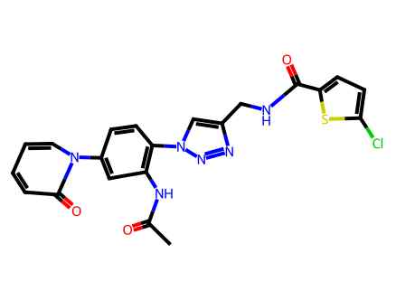 CC(=O)Nc1cc(-n2ccccc2=O)ccc1-n1cc(CNC(=O)c2ccc(Cl)s2)nn1